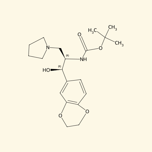 CC(C)(C)OC(=O)N[C@H](CN1CCCC1)[C@H](O)c1ccc2c(c1)OCCO2